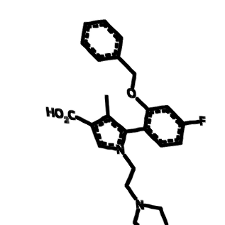 Cc1c(C(=O)O)cn(CCN2CCCC2)c1-c1ccc(F)cc1OCc1ccccc1